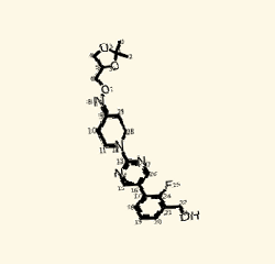 CC1(C)OCC(CON=C2CCN(c3ncc(-c4cccc(CO)c4F)cn3)CC2)O1